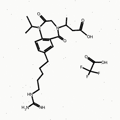 CC(CC(=O)O)N1CC(=O)N(C(C)C)c2ccc(CCCCCNC(=N)N)cc2C1=O.O=C(O)C(F)(F)F